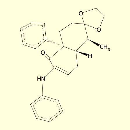 C[C@H]1[C@@H]2CC=C(Nc3ccccc3)C(=O)[C@@]2(c2ccccc2)CCC12OCCO2